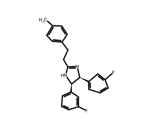 Cc1ccc(CCC2=N[C@@H](c3cccc(F)c3)[C@@H](c3cccc(F)c3)N2)cc1